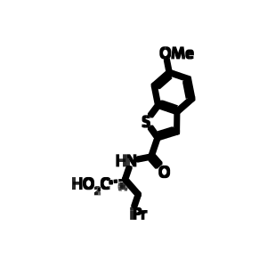 COc1ccc2cc(C(=O)N[C@H](CC(C)C)C(=O)O)sc2c1